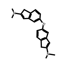 CN(C)C1=Cc2c[c]([Zr][c]3ccc4c(c3)C=C(N(C)C)C4)ccc2C1